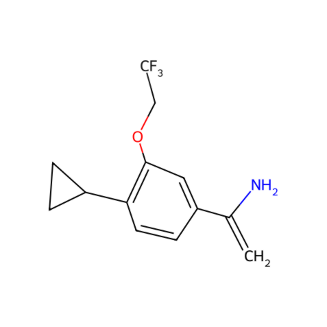 C=C(N)c1ccc(C2CC2)c(OCC(F)(F)F)c1